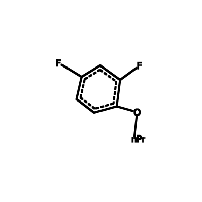 [CH2]CCOc1ccc(F)cc1F